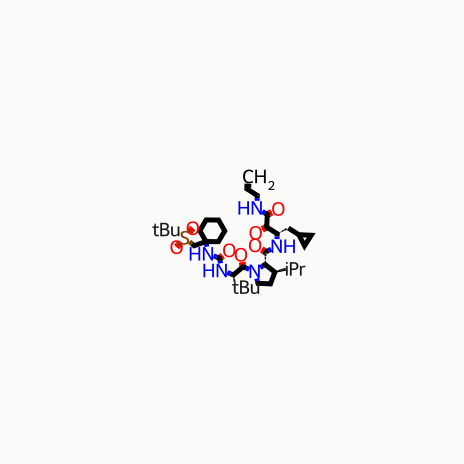 C=CCNC(=O)C(=O)[C@H](CC1CC1)NC(=O)[C@@H]1[C@@H](C(C)C)CCN1C(=O)[C@@H](NC(=O)NC1(CS(=O)(=O)C(C)(C)C)CCCCC1)C(C)(C)C